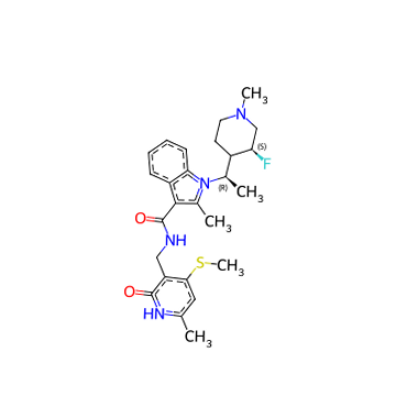 CSc1cc(C)[nH]c(=O)c1CNC(=O)c1c(C)n([C@H](C)C2CCN(C)C[C@H]2F)c2ccccc12